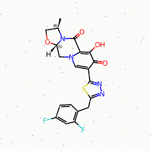 C[C@@H]1CO[C@H]2Cn3cc(-c4nnc(Cc5ccc(F)cc5F)s4)c(=O)c(O)c3C(=O)N12